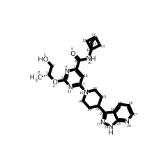 C[C@H](CO)Oc1nc(C(=O)NC23CC(C2)C3)cc(N2CCC(c3n[nH]c4ncccc34)CC2)n1